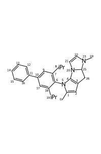 Cc1cc2c(n1-c1c(C(C)C)cc(-c3ccccc3)cc1C(C)C)N1C=CN(C)C1C2